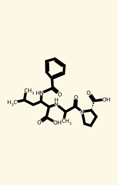 CC(C)CC(NC(=O)c1ccccc1)C(NC(C)C(=O)N1CCC[C@H]1C(=O)O)C(=O)O